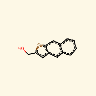 OCc1cc2cc3ccccc3cc2s1